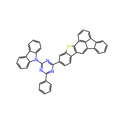 c1ccc(-c2nc(-c3ccc4c(c3)sc3c5cccc6c5c(cc43)-c3ccccc3-6)nc(-n3c4ccccc4c4ccccc43)n2)cc1